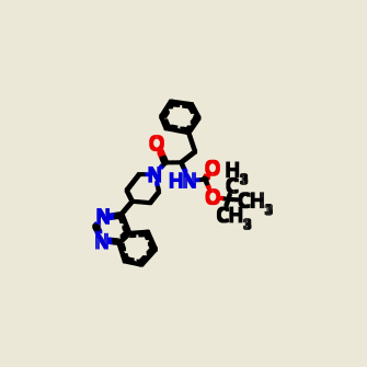 CC(C)(C)OC(=O)NC(Cc1ccccc1)C(=O)N1CCC(c2ncnc3ccccc23)CC1